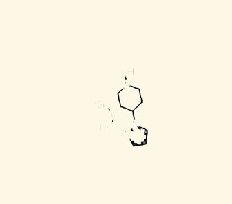 CC(C)(C)OC=O.CN1CCC(n2cccn2)CC1